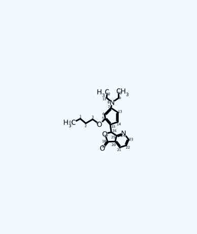 CCCCOc1cc(N(CC)CC)ccc1C1OC(=O)c2cccnc21